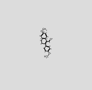 COc1ccc(C2=C(C=O)c3ccc(OC)cc3CC2)cc1